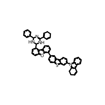 C1=CC(C2=NC(c3ccccc3)NC(c3cccc4oc5c(-c6ccc7sc8cc(-n9c%10c(c%11ccccc%119)C=CCC%10)ccc8c7c6)cccc5c34)N2)=CCC1